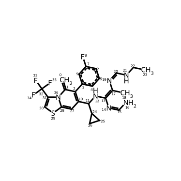 C=C1C(c2cccc(F)c2)=C(C(NC(/N=C\N)=C(C)\N=C/NCC)C2CC2)C=C2SC=C(C(F)(F)F)N12